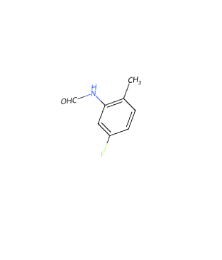 Cc1ccc(F)cc1NC=O